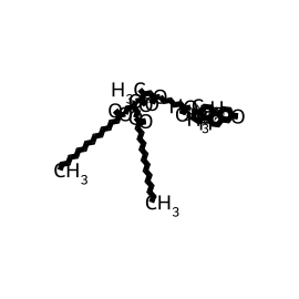 CCCCCCCCCCCCCCCC(=O)OCC(COC(=O)CCCCCCCCCCCCCCC)OC(=O)C(C)CC(=O)OCCCCC(=O)O[C@H]1CC[C@H]2[C@@H]3CCC4=CC(=O)CC[C@]4(C)[C@H]3CC[C@]12C